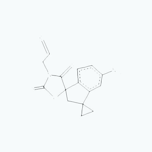 Nc1ccc2c(c1)C1(CC1)CC21OC(=O)N(CC=O)C1=O